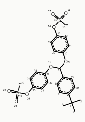 CC(C)(C)c1ccc(C(Oc2ccc(OS(=O)(=O)F)cc2)Oc2ccc(OS(=O)(=O)F)cc2)cc1